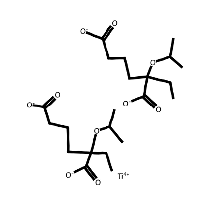 CCC(CCCC(=O)[O-])(OC(C)C)C(=O)[O-].CCC(CCCC(=O)[O-])(OC(C)C)C(=O)[O-].[Ti+4]